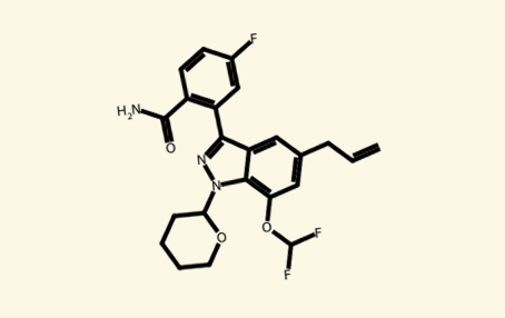 C=CCc1cc(OC(F)F)c2c(c1)c(-c1cc(F)ccc1C(N)=O)nn2C1CCCCO1